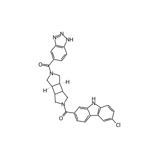 O=C(c1ccc2c(c1)[nH]c1ccc(Cl)cc12)N1CC2C(C1)[C@@H]1CN(C(=O)c3ccc4[nH]nnc4c3)C[C@H]21